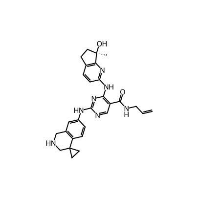 C=CCNC(=O)c1cnc(Nc2ccc3c(c2)CNCC32CC2)nc1Nc1ccc2c(n1)[C@](C)(O)CC2